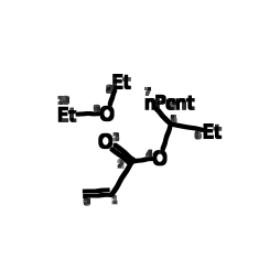 C=CC(=O)OC(CC)CCCCC.CCOCC